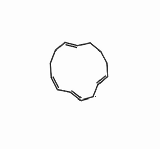 [CH]1/C=C/C=C\CC/C=C/CCC/C=C/1